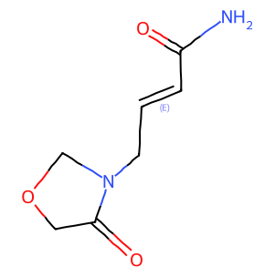 NC(=O)/C=C/CN1COCC1=O